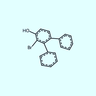 Oc1ccc(-c2ccccc2)c(-c2ccccc2)c1Br